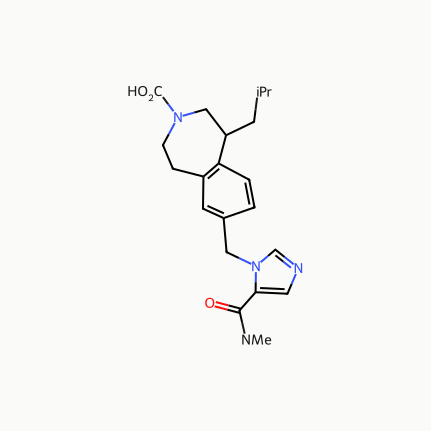 CNC(=O)c1cncn1Cc1ccc2c(c1)CCN(C(=O)O)CC2CC(C)C